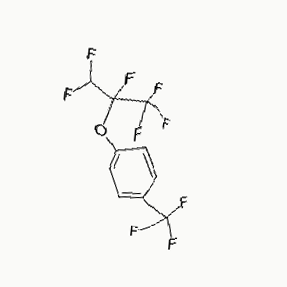 FC(F)C(F)(Oc1ccc(C(F)(F)F)cc1)C(F)(F)F